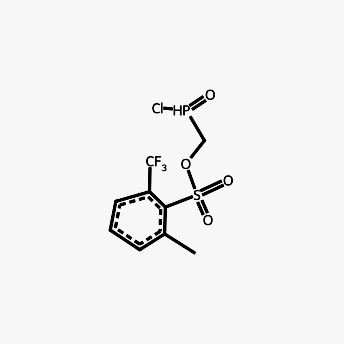 Cc1cccc(C(F)(F)F)c1S(=O)(=O)OC[PH](=O)Cl